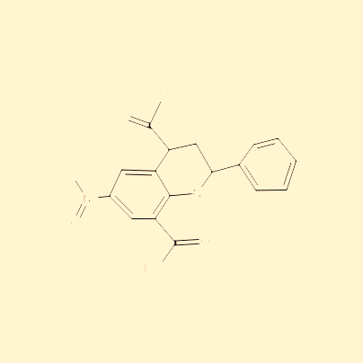 O=C(O)c1cc([N+](=O)[O-])cc2c1NC(c1ccccc1)CC2C(=O)O